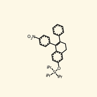 CC(C)[Si](Oc1ccc2c(c1)CCC(c1ccccc1)=C2c1ccc([N+](=O)[O-])cc1)(C(C)C)C(C)C